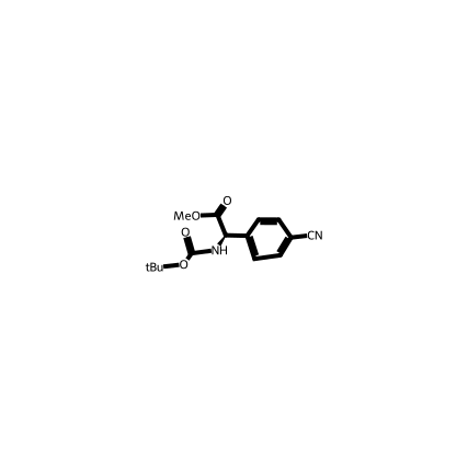 COC(=O)[C@H](NC(=O)OC(C)(C)C)c1ccc(C#N)cc1